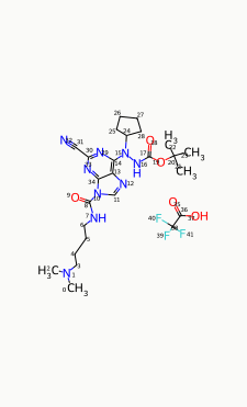 CN(C)CCCCNC(=O)n1cnc2c(N(NC(=O)OC(C)(C)C)C3CCCC3)nc(C#N)nc21.O=C(O)C(F)(F)F